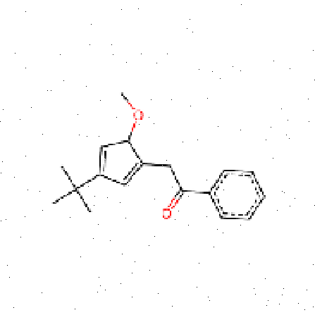 COC1C=C(C(C)(C)C)C=C1CC(=O)c1ccccc1